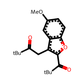 COc1ccc2oc(C(=O)C(C)(C)C)c(CC(=O)C(C)(C)C)c2c1